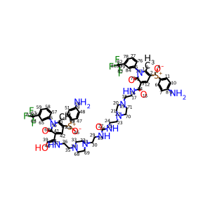 Cc1c([S+]([O-])c2ccc(N)cc2)cc(C(=O)NCCN2CCN(CCNC(=O)NCCN3CCN(CCN/C(=C\O)c4cc([S+]([O-])c5ccc(N)cc5)c(C)n(-c5cccc(C(F)(F)F)c5)c4=O)CC3)CC2)c(=O)n1-c1cccc(C(F)(F)F)c1